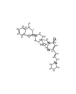 CC(CC(=O)N1CCC(O)(Cn2cnc(C=CCN3CCCC3)cc2=O)CC1)c1ccccc1